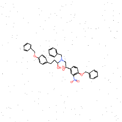 O=[N+]([O-])c1cc([C@@H](O)CN(Cc2ccccc2)[C@@H](O)CCc2ccc(OCc3ccccc3)cc2)ccc1OCc1ccccc1